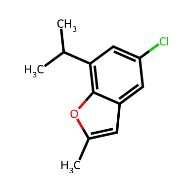 Cc1cc2cc(Cl)cc(C(C)C)c2o1